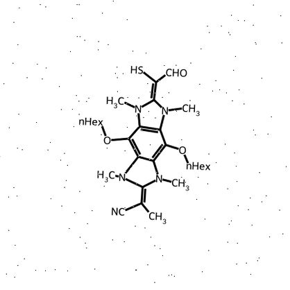 CCCCCCOc1c2c(c(OCCCCCC)c3c1N(C)C(=C(S)C=O)N3C)N(C)C(=C(C)C#N)N2C